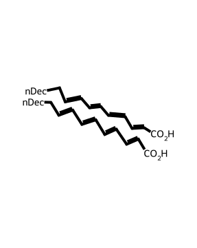 CCCCCCCCCCCC=CC=CC=CC=CC(=O)O.CCCCCCCCCCCC=CC=CC=CC=CC(=O)O